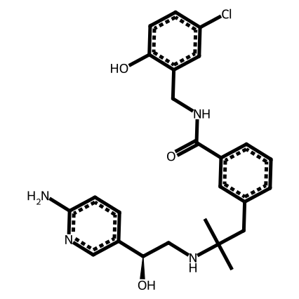 CC(C)(Cc1cccc(C(=O)NCc2cc(Cl)ccc2O)c1)NC[C@@H](O)c1ccc(N)nc1